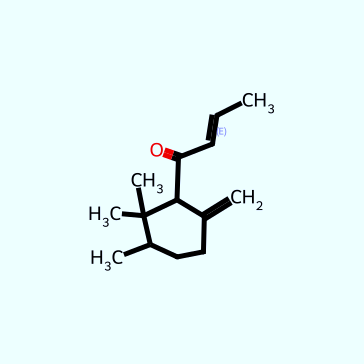 C=C1CCC(C)C(C)(C)C1C(=O)/C=C/C